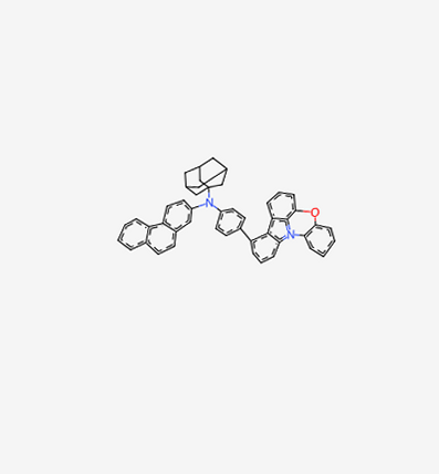 c1ccc2c(c1)Oc1cccc3c4c(-c5ccc(N(c6ccc7c(ccc8ccccc87)c6)C67CC8CC(CC(C8)C6)C7)cc5)cccc4n-2c13